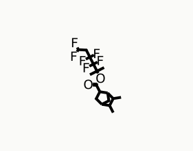 CC1C2CC(C(=O)OC(C)(C)C(F)(F)C(F)(F)CC(F)F)C(C2)C1C